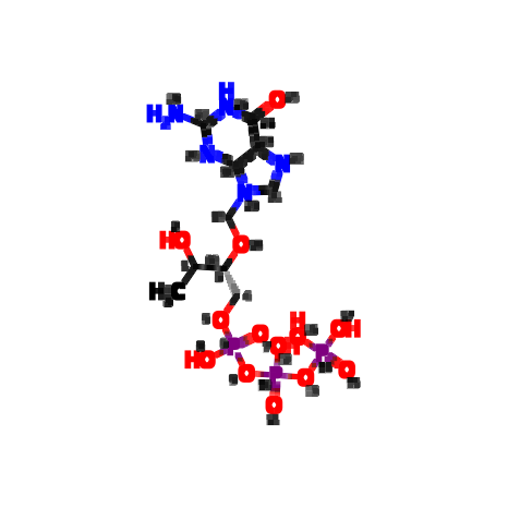 CC(O)[C@@H](COP(=O)(O)OP(=O)(O)OP(=O)(O)O)OCn1cnc2c(=O)[nH]c(N)nc21